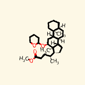 COC(=O)CC[C@@H](C)[C@H]1CC[C@H]2[C@@H]3CC[C@@H]4CCCC[C@]4(C)[C@H]3C[C@H](OC3CCCCO3)[C@]12C